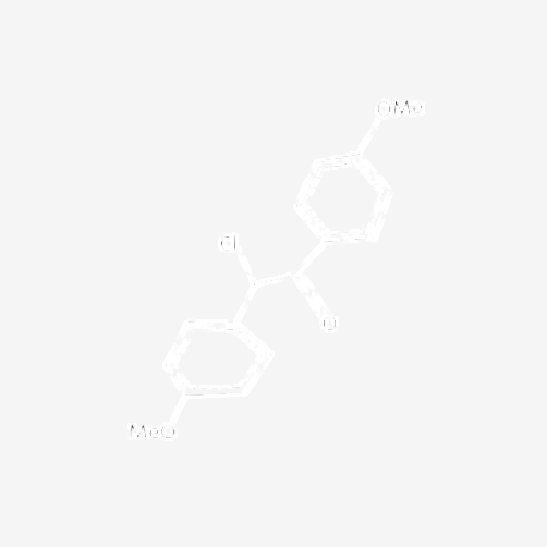 COc1ccc(C(=O)C(Cl)c2ccc(OC)cc2)cc1